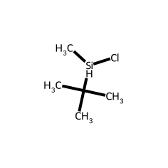 C[SiH](Cl)C(C)(C)C